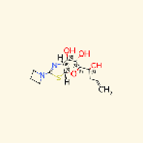 C=CC[C@H](O)[C@H]1O[C@@H]2SC(N3CCC3)=N[C@@H]2[C@@H](O)[C@@H]1O